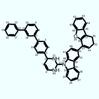 C1=CC(c2ccc(-c3cccc(-c4ccccc4)c3)cc2)NC(n2c3ccccc3c3cc(C4=CCCc5c4oc4ccccc54)ccc32)N1